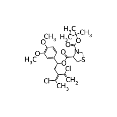 C=C(Cl)/C(C[C@H](OC(=O)[C@@H]1CSCN1C(=O)OC(C)(C)C)c1ccc(OC)c(OC)c1)=C(\C)Cl